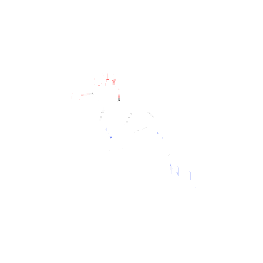 CC1Cc2c(N3CCC(N)C3)c(F)cc3c(=O)c(C(=O)O)cn1c23